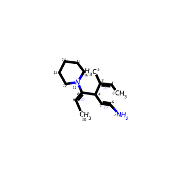 C/C=C(/C)C(/C=C/N)/C(=C\C)N1CCCCC1